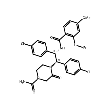 COc1ccc(C(=O)N[C@@H](c2ccc(Cl)cc2)[C@@H](c2ccc(Cl)cc2)N2CCN(C(N)=O)CC2=O)c(OC(C)C)c1